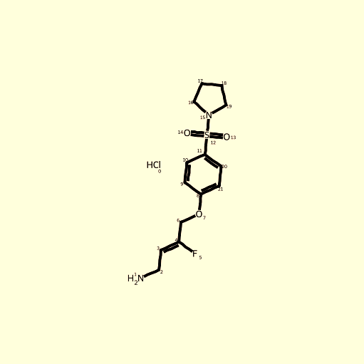 Cl.NCC=C(F)COc1ccc(S(=O)(=O)N2CCCC2)cc1